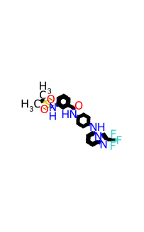 CC(C)S(=O)(=O)Nc1cccc(C(=O)NC2CCC(Nc3cccc4nc(C(F)(F)F)cn34)CC2)c1